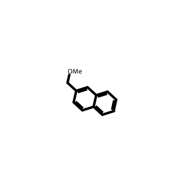 COCc1ccc2c[c]ccc2c1